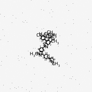 Cc1cc2nc(-c3ccc4c(c3)c(C3CCN([C@H]5CCN(C)C5)CC3)nn4C)sc2c(-c2ccc(Cl)cc2)c1[C@H](OC(C)(C)C)C(=O)O